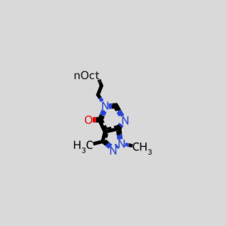 CCCCCCCCCCn1cnc2c(c(C)nn2C)c1=O